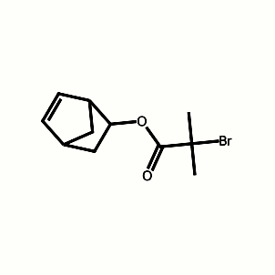 CC(C)(Br)C(=O)OC1CC2C=CC1C2